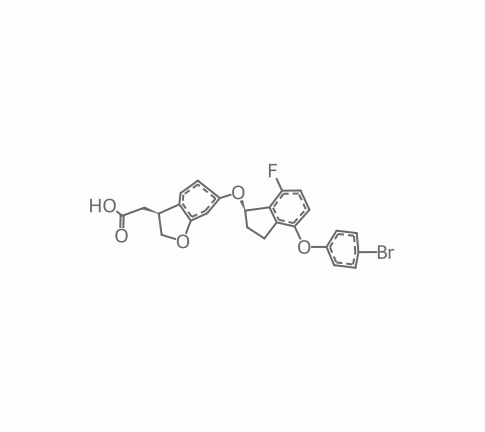 O=C(O)C[C@@H]1COc2cc(O[C@@H]3CCc4c(Oc5ccc(Br)cc5)ccc(F)c43)ccc21